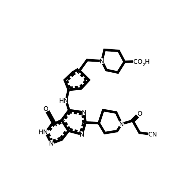 N#CCC(=O)N1CCC(c2nc(Nc3ccc(CN4CCC(C(=O)O)CC4)cc3)c3c(=O)[nH]ncc3n2)CC1